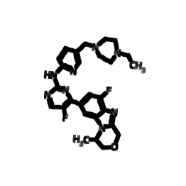 CCN1CCN(Cc2ccc(Nc3ncc(F)c(-c4cc(F)c5nc6n(c5c4)C(C)COC6)n3)nc2)CC1